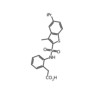 Cc1c(S(=O)(=O)Nc2ccccc2CC(=O)O)sc2ccc(C(C)C)cc12